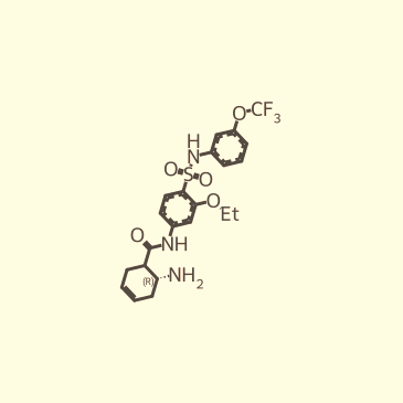 CCOc1cc(NC(=O)C2CC=CC[C@H]2N)ccc1S(=O)(=O)Nc1cccc(OC(F)(F)F)c1